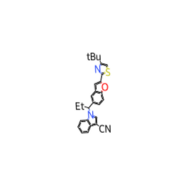 CCC(c1ccc2oc(-c3nc(C(C)(C)C)cs3)cc2c1)n1cc(C#N)c2ccccc21